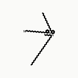 CCCCCCCCCCCCCCCCCCCCCCCCCCC(=Nc1cccc(CCCCCCCCCCCCCCC)c1)C(CCCC)=Nc1cccc(CCCCCCCCCCCCCCC)c1.[Ni]